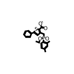 CCOP(=O)(Cc1cc(-c2ccccc2)sc1C(=O)OC)c1ccc(C)cc1C